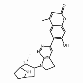 Cc1cc(=O)oc2cc(O)c(-c3cc4c(nn3)N(C3CC5CCC(N5)[C@@H]3F)CC4)cc12